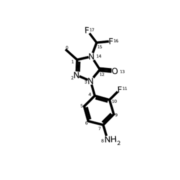 Cc1nn(-c2ccc(N)cc2F)c(=O)n1C(F)F